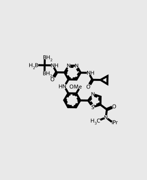 BC(B)(B)NC(=O)c1nnc(NC(=O)C2CC2)cc1Nc1cccc(-c2ncc(C(=O)N(C)C(C)C)s2)c1OC